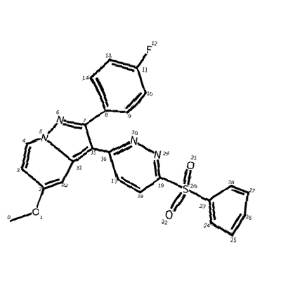 COc1ccn2nc(-c3ccc(F)cc3)c(-c3ccc(S(=O)(=O)c4ccccc4)nn3)c2c1